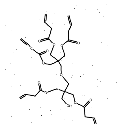 C=CCC(=O)OCC(CO)(COCC(COC(=O)CC=C)(COC(=O)CC=C)COC(=O)CC=C)COC(=O)CC=C